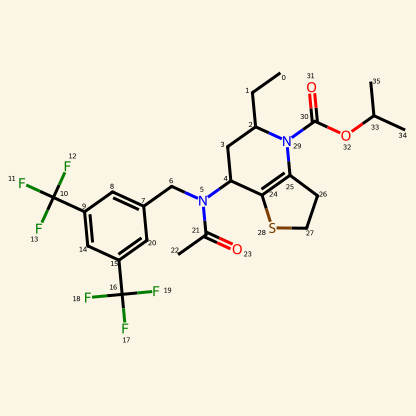 CCC1CC(N(Cc2cc(C(F)(F)F)cc(C(F)(F)F)c2)C(C)=O)C2=C(CCS2)N1C(=O)OC(C)C